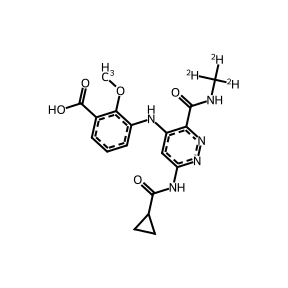 [2H]C([2H])([2H])NC(=O)c1nnc(NC(=O)C2CC2)cc1Nc1cccc(C(=O)O)c1OC